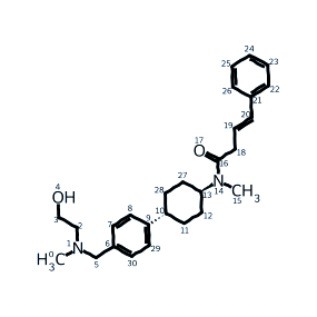 CN(CCO)Cc1ccc([C@H]2CC[C@H](N(C)C(=O)CC=Cc3ccccc3)CC2)cc1